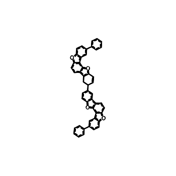 C1=CC(c2ccc3oc4c(ccc5oc6ccc(-c7ccccc7)cc6c54)c3c2)Cc2c1oc1c2ccc2oc3ccc(-c4ccccc4)cc3c21